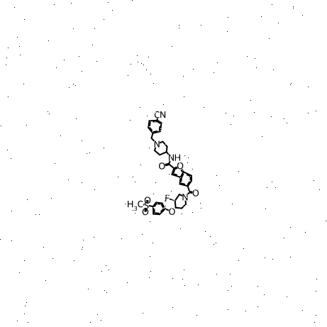 CS(=O)(=O)c1ccc(O[C@H]2CCN(C(=O)c3ccc4oc(C(=O)NC5CCN(Cc6ccc(C#N)cc6)CC5)cc4c3)C[C@@H]2F)cc1